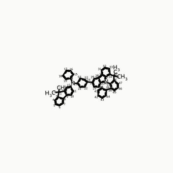 CC1(C)c2ccccc2-c2ccc(N(c3ccccc3)c3ccc(-c4ccc5c(c4)c4cccc6c4n5-c4c(-c5ccccc5)cccc4C6(C)C)cc3)cc21